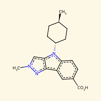 Cn1cc2c(n1)c1cc(C(=O)O)ccc1n2[C@H]1CC[C@H](C)CC1